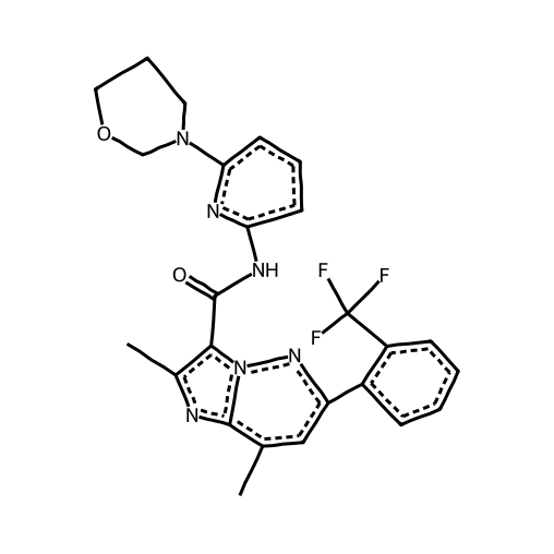 Cc1nc2c(C)cc(-c3ccccc3C(F)(F)F)nn2c1C(=O)Nc1cccc(N2CCCOC2)n1